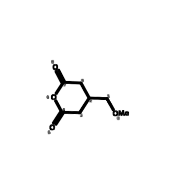 COCC1CC(=O)OC(=O)C1